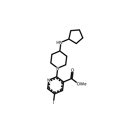 COC(=O)c1cc(I)cnc1N1CCC(NC2CCCC2)CC1